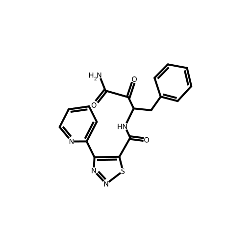 NC(=O)C(=O)C(Cc1ccccc1)NC(=O)c1snnc1-c1ccccn1